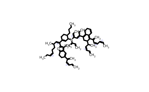 C=C/C=C\C(=C)C1=Cc2c(oc(/C(=C\C(C)CC/C=C\CC)C3=CC(N(C(=C)C=C)C(/C=C(\CC)C4=C5CCC=CC5=C(C(=C)/C=C\C=C/C)C(C(C)/C=C\C=C)C4)=C/C)C(CCCC)CC3)c2C)CC1